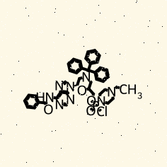 CCN1CCN(P(=O)(Cl)OCC2CN(C(c3ccccc3)(c3ccccc3)c3ccccc3)C[C@H](n3cnc4c(NC(=O)c5ccccc5)ncnc43)O2)CC1